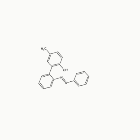 Cc1ccc(O)c(-c2ccccc2N=Nc2ccccc2)c1